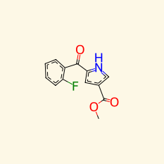 COC(=O)c1c[nH]c(C(=O)c2ccccc2F)c1